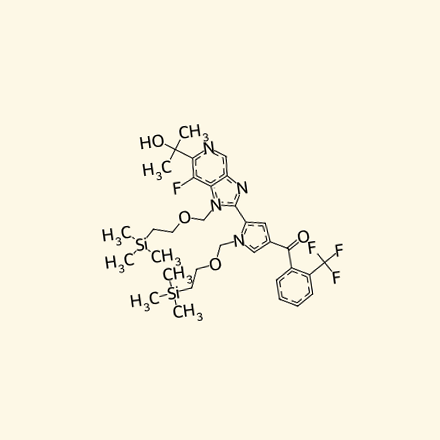 CC(C)(O)c1ncc2nc(-c3cc(C(=O)c4ccccc4C(F)(F)F)cn3COCC[Si](C)(C)C)n(COCC[Si](C)(C)C)c2c1F